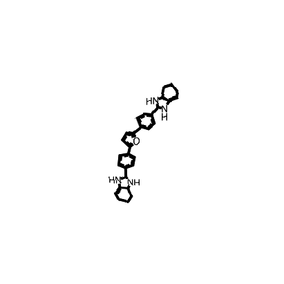 C1=C2NC(c3ccc(-c4ccc(-c5ccc(C6NC7=CCCCC7N6)cc5)o4)cc3)NC2CCC1